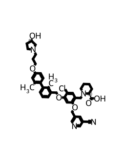 Cc1cc(OCCCN2CC[C@@H](O)C2)ccc1-c1cccc(COc2cc(OCc3cncc(C#N)c3)c(CN3CCCC[C@H]3C(=O)O)cc2Cl)c1C